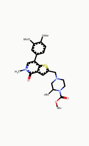 CCCCC1CN(Cc2cc3c(=O)n(C)cc(-c4ccc(OC)c(OC)c4)c3s2)CCN1C(=O)OC(C)(C)C